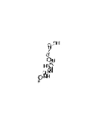 O=C(Cn1cc(Nc2ncnc3cc(OCCCN4CCC[C@@H]4CO)ccc23)nn1)Nc1cccc(F)c1